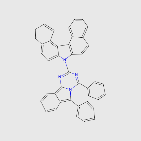 c1ccc(-c2nc(-n3c4ccc5ccccc5c4c4c5ccccc5ccc43)nc3c4ccccc4c(-c4ccccc4)n23)cc1